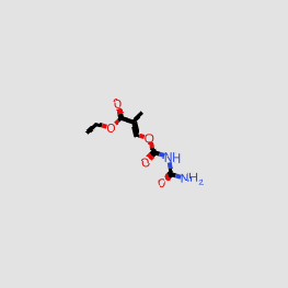 CCOC(=O)C(C)=COC(=O)NC(N)=O